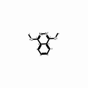 COc1nnc(OC)c2cc[c]cc12